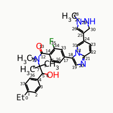 CCc1ccc(C(O)C(C)(C)N(C)C(=O)c2ccc(-c3cnc4ccc(C5=CN(C)NC5)cn34)cc2F)cc1